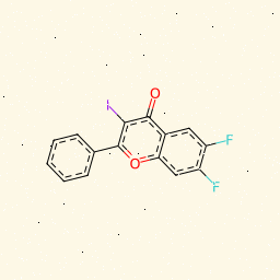 O=c1c(I)c(-c2ccccc2)oc2cc(F)c(F)cc12